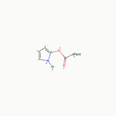 CCCCCC(=O)Oc1cccn1Br